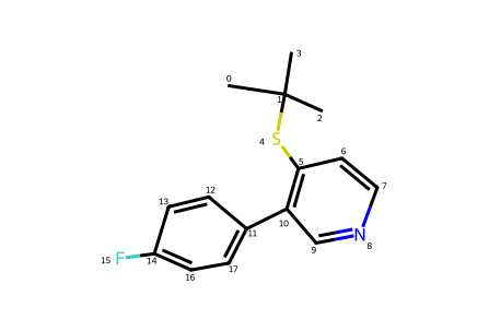 CC(C)(C)Sc1ccncc1-c1ccc(F)cc1